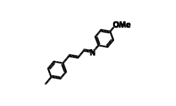 COc1ccc(/N=C/C=C/c2ccc(C)cc2)cc1